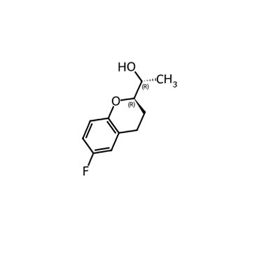 C[C@@H](O)[C@H]1CCc2cc(F)ccc2O1